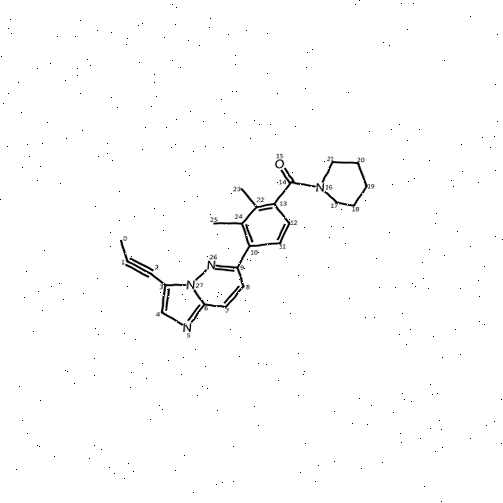 CC#Cc1cnc2ccc(-c3ccc(C(=O)N4CCCCC4)c(C)c3C)nn12